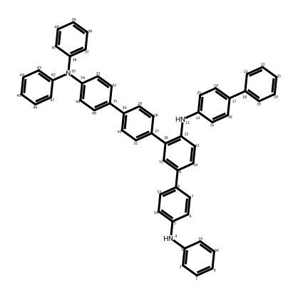 c1ccc(Nc2ccc(-c3ccc(Nc4ccc(-c5ccccc5)cc4)c(-c4ccc(-c5ccc(N(c6ccccc6)c6ccccc6)cc5)cc4)c3)cc2)cc1